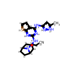 Cc1cc(Nc2nc(NC3CC4CCC(C3)N4CCC#N)nc3sccc23)n[nH]1